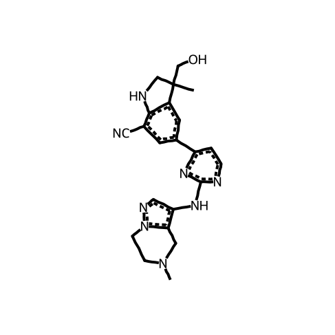 CN1CCn2ncc(Nc3nccc(-c4cc(C#N)c5c(c4)C(C)(CO)CN5)n3)c2C1